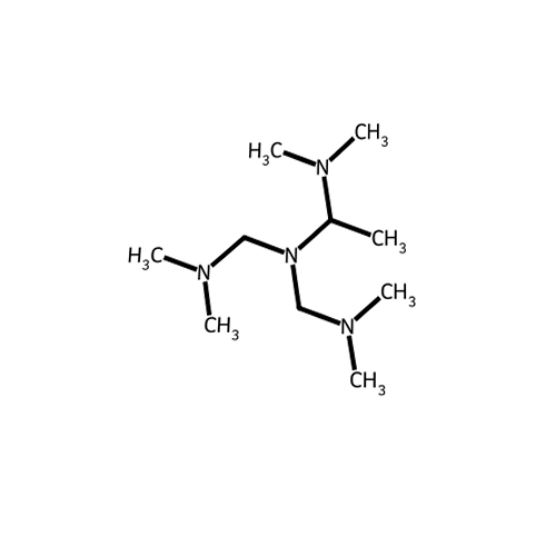 CC(N(C)C)N(CN(C)C)CN(C)C